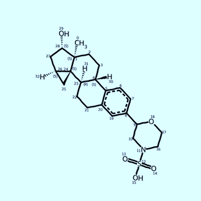 C[C@]12CC[C@@H]3c4ccc(C5CN(S(=O)(=O)O)CCO5)cc4CC[C@H]3[C@@]13C[C@H]3C[C@@H]2O